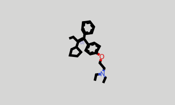 CC/C(=C(\c1ccccc1)c1ccc(OCCN(CC)CC)cc1)C1CCCC1